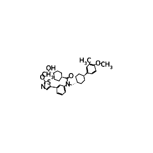 COc1ncc(-c2cccc(N(C[C@H]3CC[C@H](c4ccc(OC)c(C)c4)CC3)C(=O)[C@H]3CC[C@H](CO)CC3)c2)s1